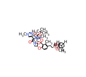 Cc1c(CCB2O[C@@H]3C[C@@H]4C[C@@H](C4(C)C)[C@]3(C)O2)ccc(OC2CN(C(=O)C(NC(=O)OC(C)(C)C)c3cn(C)cn3)C2)c1C(=O)OC(C)(C)C